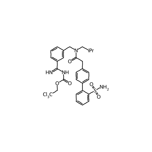 CC(C)CN(Cc1cccc(C(=N)NC(=O)OCC(Cl)(Cl)Cl)c1)C(=O)Cc1ccc(-c2ccccc2S(N)(=O)=O)cc1